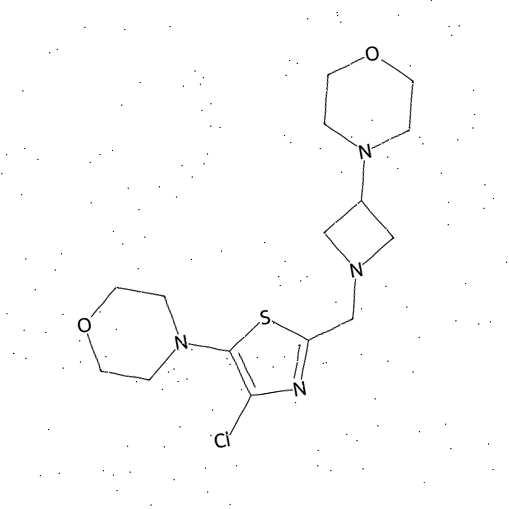 Clc1nc(CN2CC(N3CCOCC3)C2)sc1N1CCOCC1